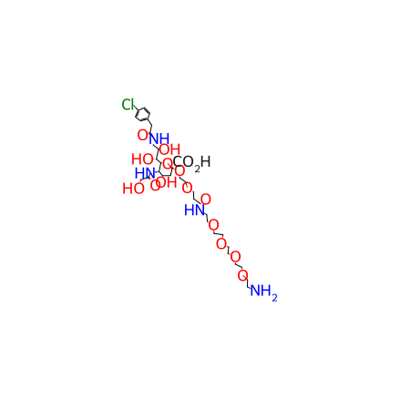 NCCOCCOCCOCCOCCNC(=O)CCOCCO[C@]1(C(=O)O)C[C@H](O)[C@@H](NC(=O)CO)[C@H]([C@H](O)[C@H](O)CNC(=O)Cc2ccc(Cl)cc2)O1